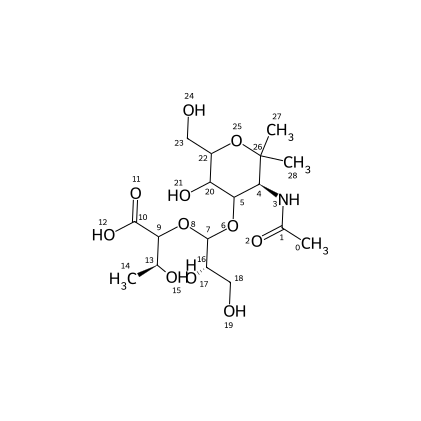 CC(=O)N[C@H]1C(OC(OC(C(=O)O)[C@H](C)O)[C@@H](O)CO)C(O)C(CO)OC1(C)C